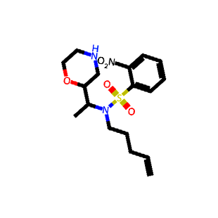 C=CCCCN(C(C)C1CNCCO1)S(=O)(=O)c1ccccc1[N+](=O)[O-]